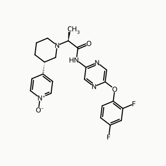 C[C@@H](C(=O)Nc1cnc(Oc2ccc(F)cc2F)cn1)N1CCC[C@@H](c2cc[n+]([O-])cc2)C1